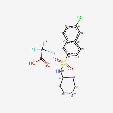 O=C(O)C(F)(F)F.O=S(=O)(NC1CCNCC1)c1ccc2cc(Cl)ccc2c1